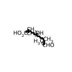 CC(C)(CCCCC(O)CCCCC(C)(C)CC(=O)O)COC=O